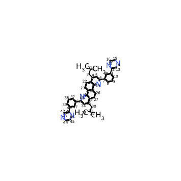 CC(C)Cc1cc(-c2cccc(-c3cnccn3)c2)nc2c1ccc1c2ccc2c(CC(C)C)cc(-c3cccc(-c4cnccn4)c3)nc21